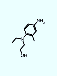 CCN(CCO)c1ccc(N)cc1C